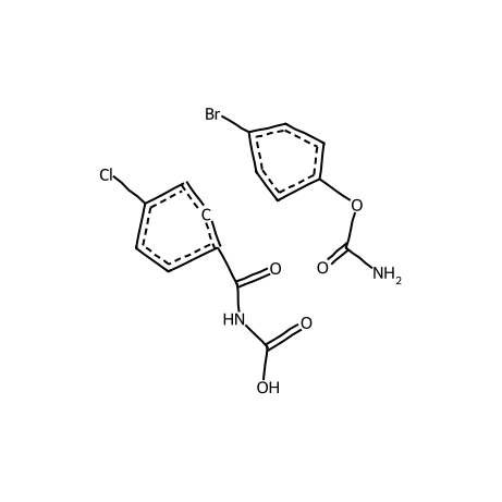 NC(=O)Oc1ccc(Br)cc1.O=C(O)NC(=O)c1ccc(Cl)cc1